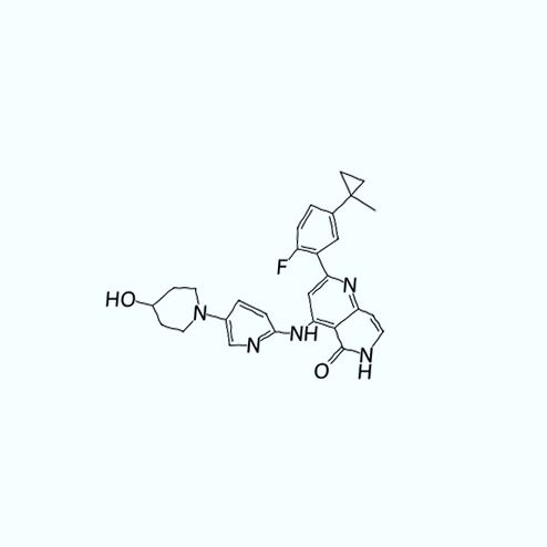 CC1(c2ccc(F)c(-c3cc(Nc4ccc(N5CCC(O)CC5)cn4)c4c(=O)[nH]ccc4n3)c2)CC1